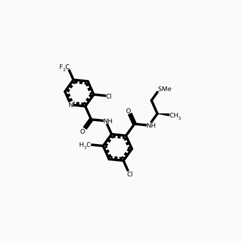 CSC[C@@H](C)NC(=O)c1cc(Cl)cc(C)c1NC(=O)c1ncc(C(F)(F)F)cc1Cl